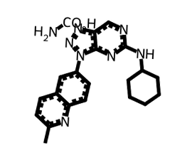 Cc1ccc2cc(-n3nnc4cnc(NC5CCCCC5)nc43)ccc2n1.NC(=O)O